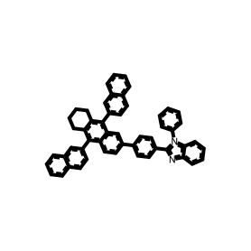 c1ccc(-n2c(-c3ccc(-c4ccc5c(-c6ccc7ccccc7c6)c6c(c(-c7ccc8ccccc8c7)c5c4)CCCC6)cc3)nc3ccccc32)cc1